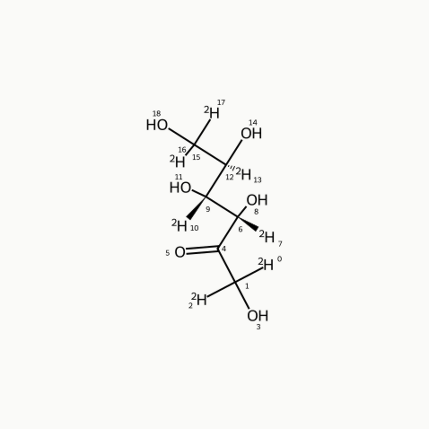 [2H]C([2H])(O)C(=O)[C@@]([2H])(O)[C@]([2H])(O)[C@]([2H])(O)C([2H])([2H])O